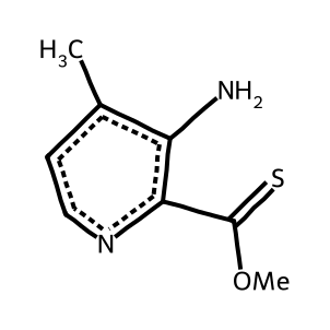 COC(=S)c1nccc(C)c1N